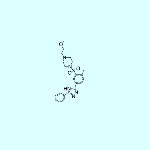 COCCN1CCN(S(=O)(=O)c2cc(-c3nnc(-c4ccccc4)[nH]3)ccc2C)CC1